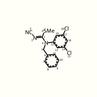 CSC(=NC#N)N(Cc1ccccc1)c1cc(Cl)cc(Cl)c1